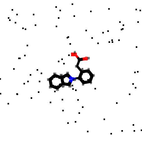 O=C(O)Cc1ccccc1-n1cc2ccccc2c1